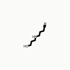 N#CCCCNCCCO